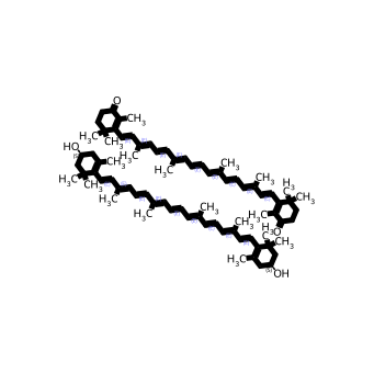 CC1=C(/C=C/C(C)=C/C=C/C(C)=C/C=C/C=C(C)/C=C/C=C(C)/C=C/C2=C(C)C(=O)CCC2(C)C)C(C)(C)CCC1=O.CC1=C(/C=C/C(C)=C/C=C/C(C)=C/C=C/C=C(C)/C=C/C=C(C)/C=C/C2=C(C)C[C@@H](O)CC2(C)C)C(C)(C)C[C@H](O)C1